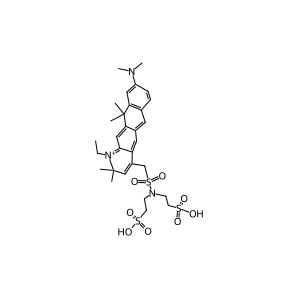 CC[N+]1=c2cc3c(cc2C(CS(=O)(=O)N(CCS(=O)(=O)O)CCS(=O)(=O)O)=CC1(C)C)=Cc1ccc(N(C)C)cc1C3(C)C